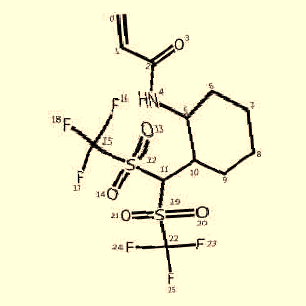 C=CC(=O)NC1CCCCC1C(S(=O)(=O)C(F)(F)F)S(=O)(=O)C(F)(F)F